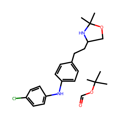 CC(C)(C)OC=O.CC1(C)NC(CCc2ccc(Nc3ccc(Cl)cc3)cc2)CO1